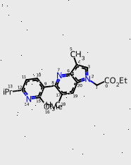 CCOC(=O)Cn1cc(C)c2nc(-c3ccc(C(C)C)nc3OC)c(C)cc21